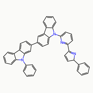 C1=CC(c2ccccc2)N=C1c1cccc(-n2c3ccccc3c3cc(-c4ccc5c6ccccc6n(-c6ccccc6)c5c4)ccc32)n1